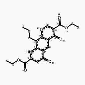 CCCc1c2[nH]c(C(=O)OCC)cc(=O)c2cc2c(=O)c(C(=O)OCC)coc12